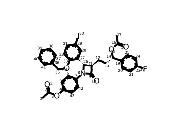 CC(=O)Oc1ccc(N2C(=O)[C@H](CC[C@H](OC(C)=O)c3ccc(F)cc3)[C@H]2c2cc(I)ccc2OCc2ccccc2)cc1